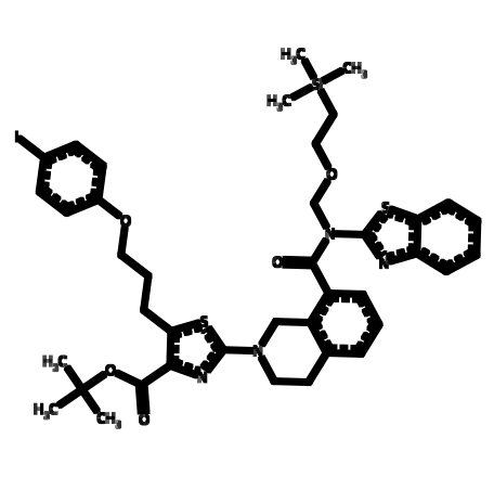 CC(C)(C)OC(=O)c1nc(N2CCc3cccc(C(=O)N(COCC[Si](C)(C)C)c4nc5ccccc5s4)c3C2)sc1CCCOc1ccc(I)cc1